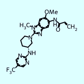 C=CC(=O)Nc1cc2nc(N3CCC[C@@H](Nc4ncc(C(F)(F)F)cn4)C3)n(C)c2cc1OC